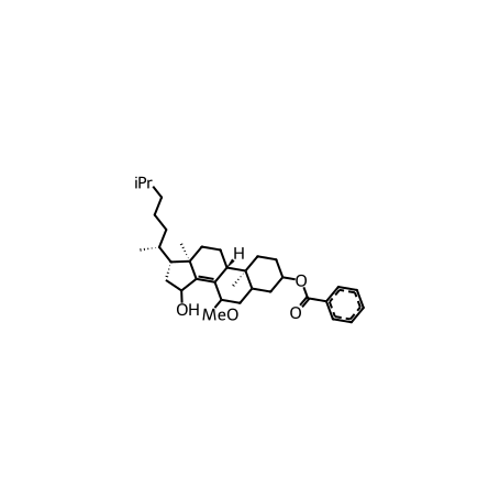 COC1CC2CC(OC(=O)c3ccccc3)CC[C@]2(C)[C@H]2CC[C@@]3(C)C(=C12)C(O)C[C@@H]3[C@H](C)CCCC(C)C